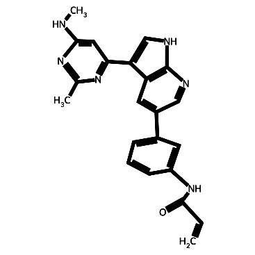 C=CC(=O)Nc1cccc(-c2cnc3[nH]cc(-c4cc(NC)nc(C)n4)c3c2)c1